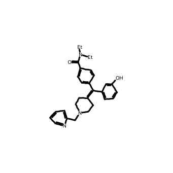 CCN(CC)C(=O)c1ccc(C(=C2CCN(Cc3ccccn3)CC2)c2cccc(O)c2)cc1